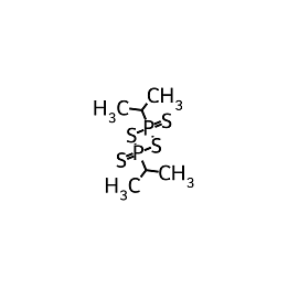 CC(C)P1(=S)SP(=S)(C(C)C)S1